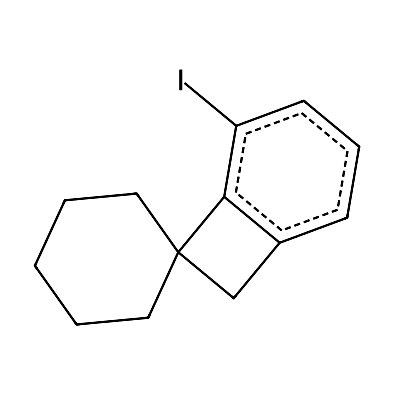 Ic1cccc2c1C1(CCCCC1)C2